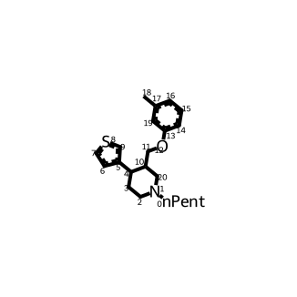 CCCCCN1CCC(c2ccsc2)C(COc2cccc(C)c2)C1